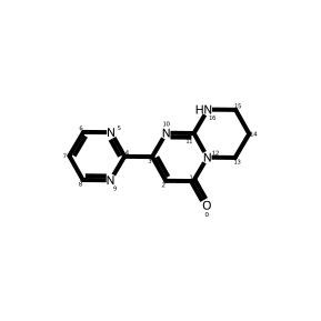 O=c1cc(-c2ncccn2)nc2n1CCCN2